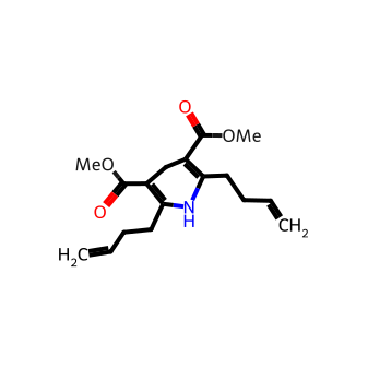 C=CCCC1=C(C(=O)OC)CC(C(=O)OC)=C(CCC=C)N1